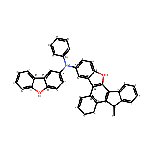 CC1c2ccccc2-c2c1c1c(c3c2oc2ccc(N(c4ccccc4)c4ccc5oc6ccccc6c5c4)cc23)C=CCC1